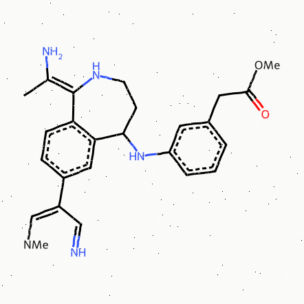 CN/C=C(\C=N)c1ccc2c(c1)C(Nc1cccc(CC(=O)OC)c1)CCN/C2=C(/C)N